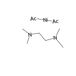 CN(C)CCN(C)C.C[C](=O)[Ni][C](C)=O